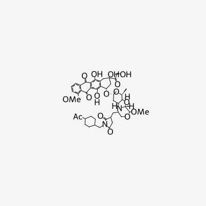 COc1cccc2c1C(=O)c1c(O)c3c(c(O)c1C2=O)C[C@@](O)(C(=O)CO)C[C@@H]3O[C@H]1C[C@H]2[C@H](O[C@@H]3[C@@H](OC)OCC(CC4CC(=O)N(CC5CCC(C(C)=O)CC5)C4=O)N32)[C@H](C)O1